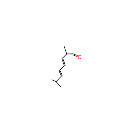 CC(=C=O)C=CC=CC(C)C